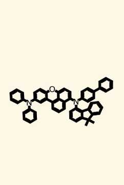 CC1(C)c2ccccc2-c2c(N(c3ccc(-c4ccccc4)cc3)c3ccc4c5c(cccc35)-c3cc(N(c5ccccc5)c5ccccc5)ccc3O4)cccc21